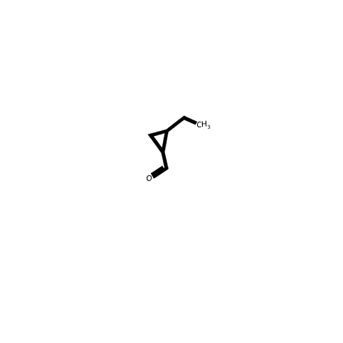 CCC1CC1C=O